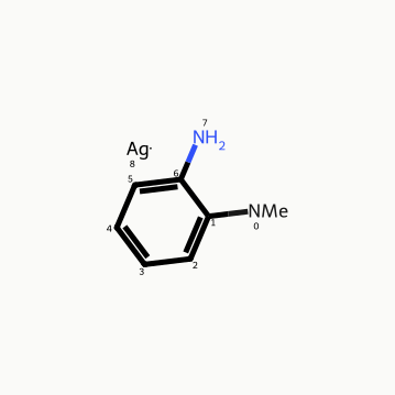 CNc1ccccc1N.[Ag]